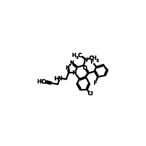 C#CCNCc1nnc(CN(C)C)n1-c1ccc(Cl)cc1C(=O)c1c(F)cccc1F